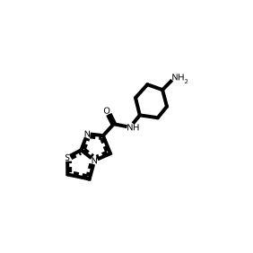 NC1CCC(NC(=O)c2cn3ccsc3n2)CC1